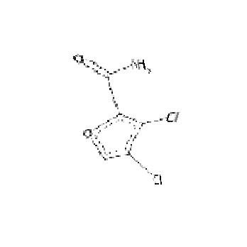 NC(=O)c1occ(Cl)c1Cl